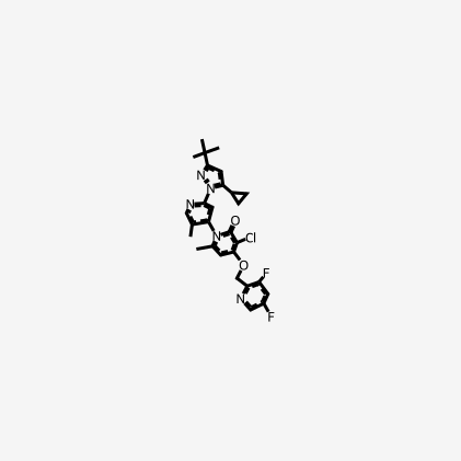 Cc1cnc(-n2nc(C(C)(C)C)cc2C2CC2)cc1-n1c(C)cc(OCc2ncc(F)cc2F)c(Cl)c1=O